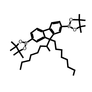 CCCCCCCCC1(C(C)CCCCCC)c2cc(B3OC(C)(C)C(C)(C)O3)ccc2-c2ccc(B3OC(C)(C)C(C)(C)O3)cc21